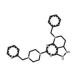 c1ccc(CN2CCC3NNc4nc(N5CCN(Cc6ccccn6)CC5)nc2c43)cc1